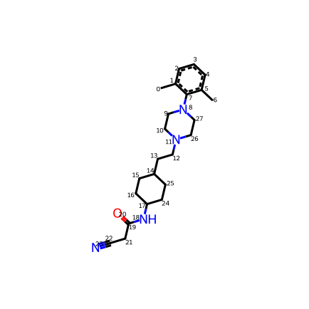 Cc1cccc(C)c1N1CCN(CCC2CCC(NC(=O)CC#N)CC2)CC1